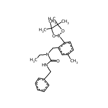 CCN(Cc1cc(C)ccc1B1OC(C)(C)C(C)(C)O1)C(=O)NCc1ccccc1